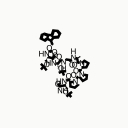 C[C@H](NC(=O)CNC(=O)[C@H](COC(C)(C)C)NC(=O)[C@H](COC(C)(C)C)NC(=O)OCC1c2ccccc2-c2ccccc21)C(=O)N1CCC[C@H]1C(=O)N1CCC[C@H]1C(=O)N1CCC[C@H]1C(=O)N[C@@H](COC(C)(C)C)C(N)=O